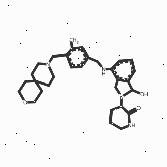 Cc1cc(CNc2cccc3c2CN(C2CCCNC2=O)C3O)ccc1CN1CCC2(CCOCC2)CC1